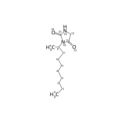 CCCCCCCCC(C)N1C(=O)CNC1=O